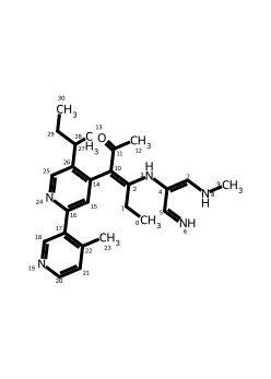 CC/C(N/C(C=N)=C/NC)=C(/C(C)=O)c1cc(-c2cnccc2C)ncc1C(C)CC